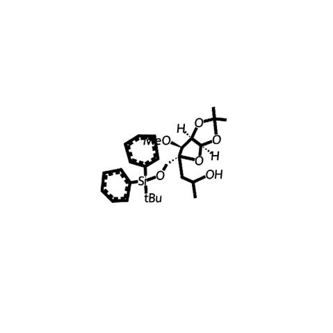 CO[C@H]1[C@H]2OC(C)(C)O[C@H]2O[C@@]1(CO[Si](c1ccccc1)(c1ccccc1)C(C)(C)C)CC(C)O